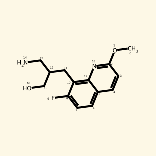 COc1ccc2ccc(F)c(CC(CN)CO)c2n1